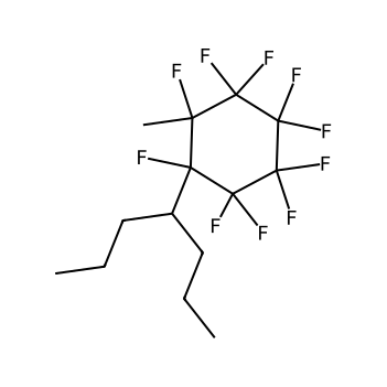 CCCC(CCC)C1(F)C(C)(F)C(F)(F)C(F)(F)C(F)(F)C1(F)F